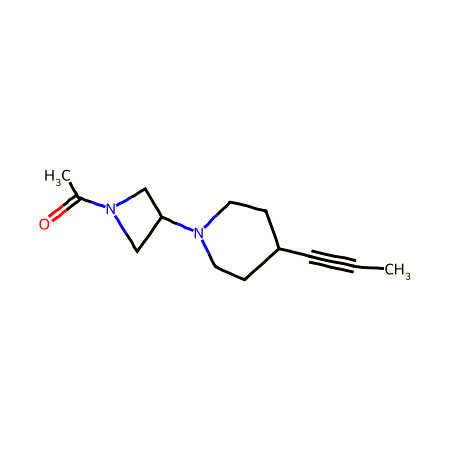 CC#CC1CCN(C2CN(C(C)=O)C2)CC1